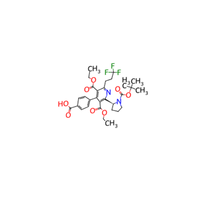 CCOC(=O)c1c(CCC(F)(F)F)nc([C@@H]2CCCN2C(=O)OC(C)(C)C)c(C(=O)OCC)c1-c1ccc(C(=O)O)cc1